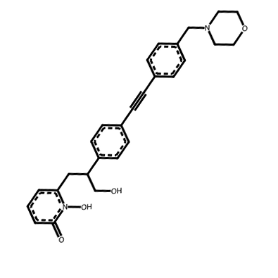 O=c1cccc(CC(CO)c2ccc(C#Cc3ccc(CN4CCOCC4)cc3)cc2)n1O